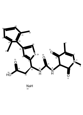 CC1=CN(C)C(=O)C(NC(=O)N[C@@H](CC(=O)O)c2cc(-c3c(C)cccc3C)cs2)C1=O.[NaH]